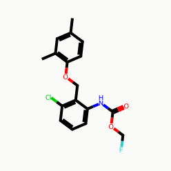 Cc1ccc(OCc2c(Cl)cccc2NC(=O)OCF)c(C)c1